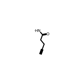 C#CCCC([NH])=O